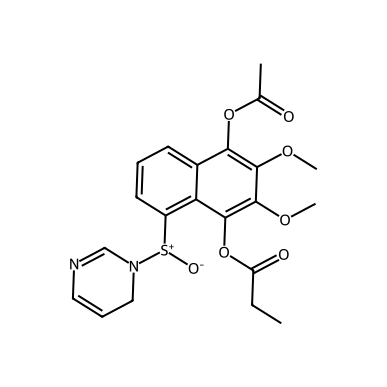 CCC(=O)Oc1c(OC)c(OC)c(OC(C)=O)c2cccc([S+]([O-])N3C=NC=CC3)c12